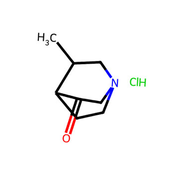 CC1CN2CCC1C(=O)C2.Cl